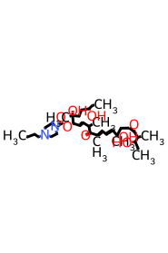 CCCCN1CCN(C(=O)OC(C=CC(C)C(=O)C(C)=CC=CC(C)(O)CC2OC2C(C)C(O)CC)C(C)(O)CCC(O)CC)CC1